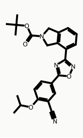 CC(C)Oc1ccc(-c2nc(-c3cccc4c3CN(C(=O)OC(C)(C)C)C4)no2)cc1C#N